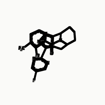 CCc1c(C(=O)N2C3CCCC2c2nnc(-c4ncc(F)cn4)n2C3)cccc1C(F)(F)F